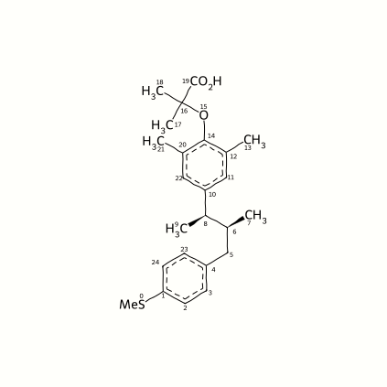 CSc1ccc(C[C@H](C)[C@@H](C)c2cc(C)c(OC(C)(C)C(=O)O)c(C)c2)cc1